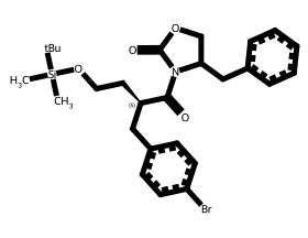 CC(C)(C)[Si](C)(C)OCC[C@H](Cc1ccc(Br)cc1)C(=O)N1C(=O)OCC1Cc1ccccc1